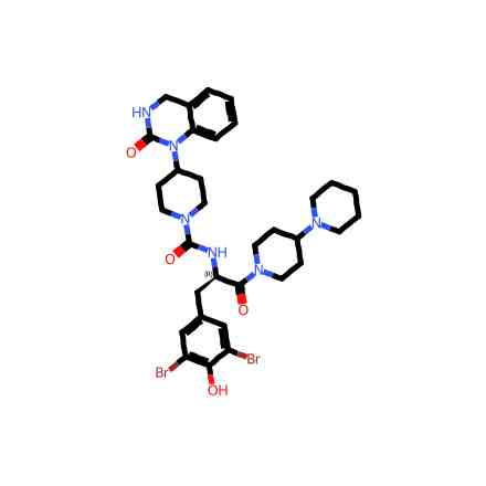 O=C(N[C@H](Cc1cc(Br)c(O)c(Br)c1)C(=O)N1CCC(N2CCCCC2)CC1)N1CCC(N2C(=O)NCc3ccccc32)CC1